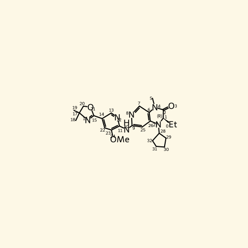 CC[C@@H]1C(=O)N(C)c2cnc(Nc3ncc(C4=NC(C)(C)CO4)cc3OC)cc2N1C1CCCC1